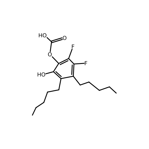 CCCCCc1c(O)c(OC(=O)O)c(F)c(F)c1CCCCC